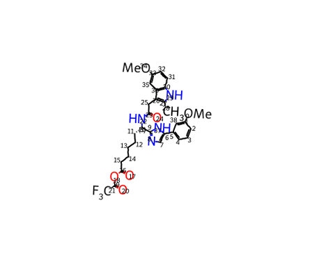 COc1cccc(-c2cnc([C@H](CCCCCC(=O)OC(=O)C(F)(F)F)NC(=O)Cc3c(C)[nH]c4ccc(OC)cc34)[nH]2)c1